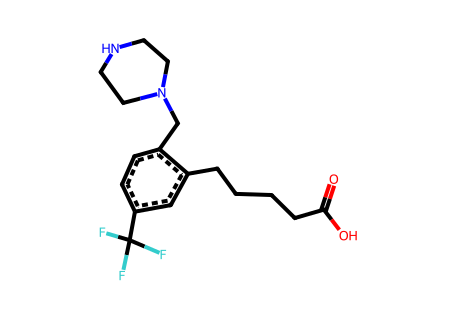 O=C(O)CCCCc1cc(C(F)(F)F)ccc1CN1CCNCC1